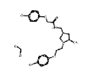 CC1CC(CNC(=O)COc2ccc(Cl)cc2)CN1CCOc1ccc(Cl)cc1.ClCCl